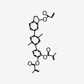 C=CC(=O)OC1CCc2ccc(-c3cc(C)c(-c4ccc(OC(=O)C(=C)C)c(OC(=O)C(=C)C)c4)cc3C)cc21